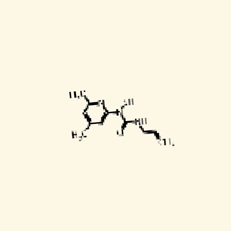 C=CCNC(=O)N(S)c1cc(C)cc(C)n1